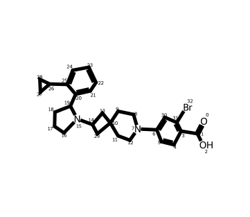 O=C(O)c1ccc(N2CCC3(CC2)CC(N2CCCC2c2ccccc2C2CC2)C3)cc1Br